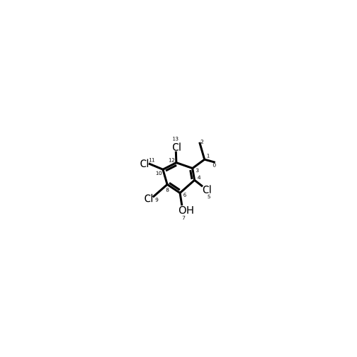 CC(C)c1c(Cl)c(O)c(Cl)c(Cl)c1Cl